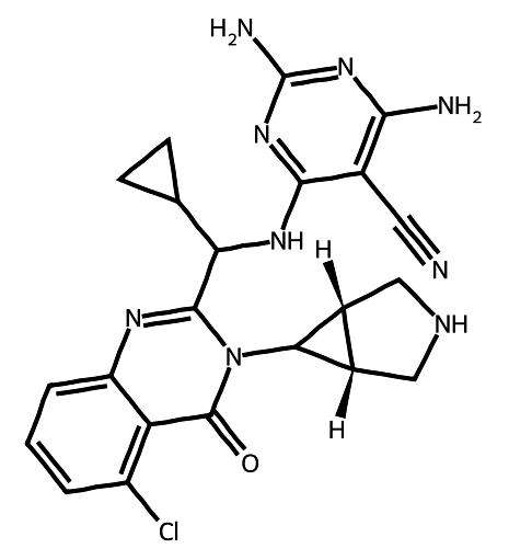 N#Cc1c(N)nc(N)nc1NC(c1nc2cccc(Cl)c2c(=O)n1C1[C@H]2CNC[C@@H]12)C1CC1